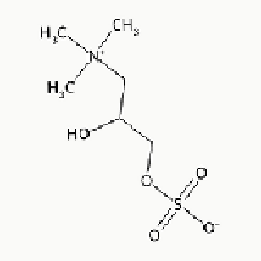 C[N+](C)(C)CC(O)COS(=O)(=O)[O-]